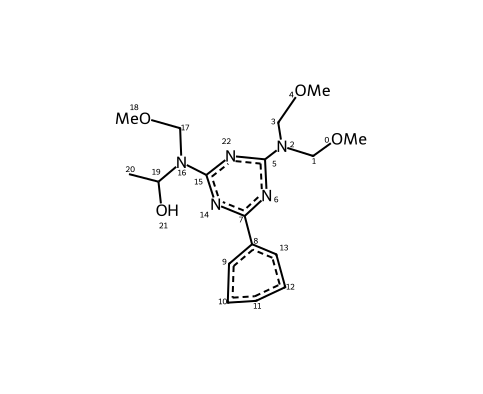 COCN(COC)c1nc(-c2ccccc2)nc(N(COC)C(C)O)n1